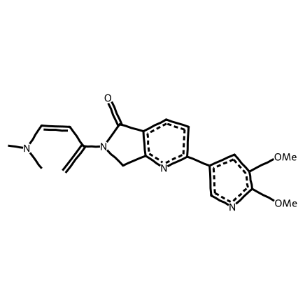 C=C(/C=C\N(C)C)N1Cc2nc(-c3cnc(OC)c(OC)c3)ccc2C1=O